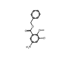 COc1c(Cl)cc(N)cc1C(=O)OCc1ccccc1